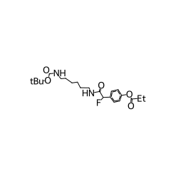 CCC(=O)Oc1ccc(C(F)C(=O)NCCCCCCNC(=O)OC(C)(C)C)cc1